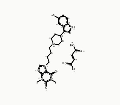 Cn1c(=O)c2c(ncn2CCCCN2CCC(c3c[nH]c4ccc(F)cc34)CC2)n(C)c1=O.O=C(O)C=CC(=O)O